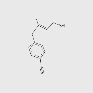 C#Cc1ccc(CC(C)=CCS)cc1